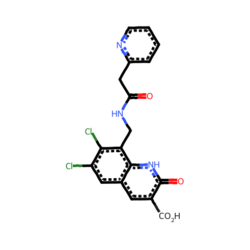 O=C(Cc1ccccn1)NCc1c(Cl)c(Cl)cc2cc(C(=O)O)c(=O)[nH]c12